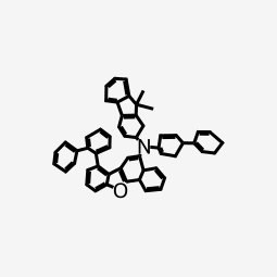 CC1(C)C2=C(C=CC(N(C3=CCC(C4=CCCC=C4)C=C3)C3=Cc4c(oc5cccc(-c6ccccc6-c6ccccc6)c45)C4C=CC=CC34)C2)c2ccccc21